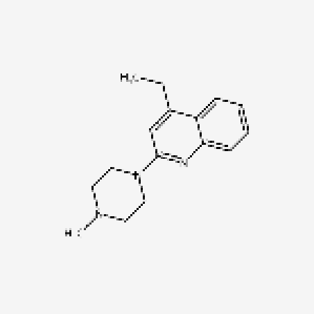 CCc1cc(N2CCN(C)CC2)nc2ccccc12